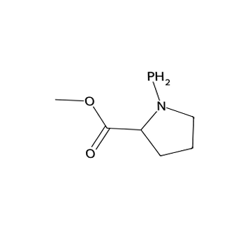 COC(=O)C1CCCN1P